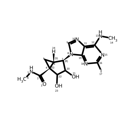 CNC(=O)[C@@]12C[C@@H]1[C@@H](n1cnc3c(NC)nc(I)nc31)C(O)C2O